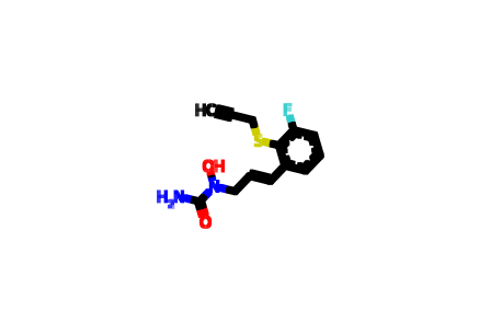 C#CCSc1c(F)cccc1/C=C/CN(O)C(N)=O